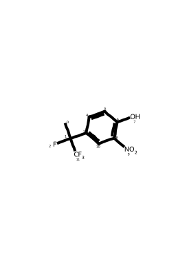 CC(F)(c1ccc(O)c([N+](=O)[O-])c1)C(F)(F)F